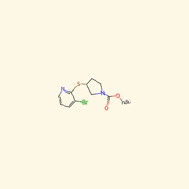 CCCCOC(=O)N1CCC(Sc2ncccc2Br)C1